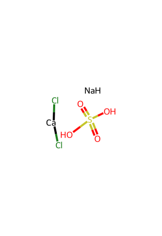 O=S(=O)(O)O.[Cl][Ca][Cl].[NaH]